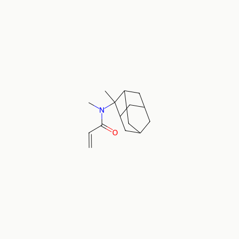 C=CC(=O)N(C)C1(C)C2CC3CC(C2)CC1C3